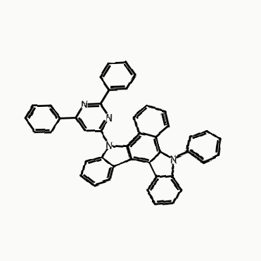 c1ccc(-c2cc(-n3c4ccccc4c4c5c6ccccc6n(-c6ccccc6)c5c5ccccc5c43)nc(-c3ccccc3)n2)cc1